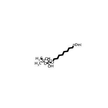 CCCCCCCCCCCCCCCCCCOP(=O)(O)O[Si](C)(C)C